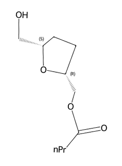 CCCC(=O)OC[C@H]1CC[C@@H](CO)O1